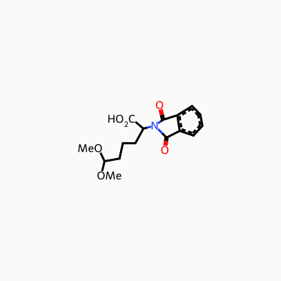 COC(CCCC(C(=O)O)N1C(=O)c2ccccc2C1=O)OC